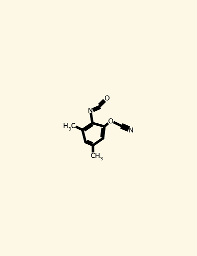 Cc1cc(C)c(N=C=O)c(OC#N)c1